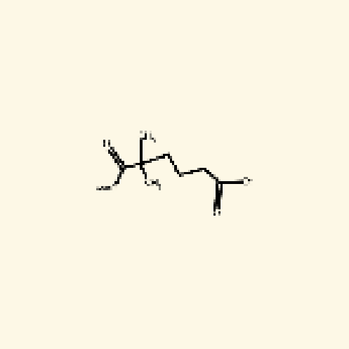 CCC(=O)CCCC(C)(C)C(=O)OC